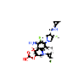 Cc1c(N2C[C@H](CNC3CC3)[C@H](F)C2)c(F)c(N)c2c(=O)c(OC(=O)O)cn([C@@H]3C[C@@H]3F)c12